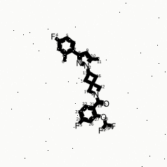 Cc1cc(F)ccc1-c1cc(C)n(C2CC3(C2)CN(C(=O)c2ccc(F)cc2OC(F)F)C3)n1